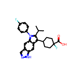 CC(C)c1c(C2CCC(F)(C(=O)O)CC2)c2cc3[nH]ncc3cc2n1-c1ccc(F)cc1